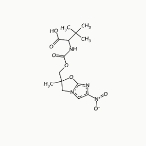 CC1(COC(=O)NC(C(=O)O)C(C)(C)C)Cn2cc([N+](=O)[O-])nc2O1